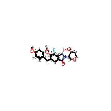 COc1ccc(Cc2cc3c(c(F)c2OC)CN([C@H]2COCC[C@@H]2O)C3=O)cc1